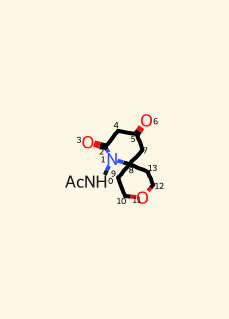 CC(=O)NN1C(=O)CC(=O)CC12CCOCC2